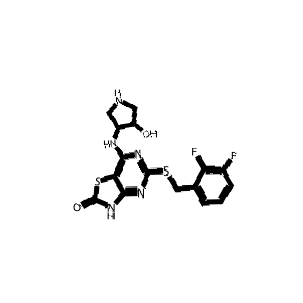 O=c1[nH]c2nc(SCc3cccc(F)c3F)nc(NC3CNCC3O)c2s1